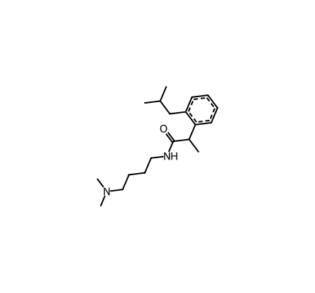 CC(C)Cc1ccccc1C(C)C(=O)NCCCCN(C)C